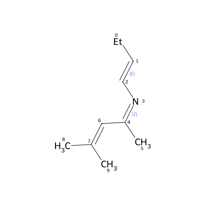 CC/C=C/N=C(/C)C=C(C)C